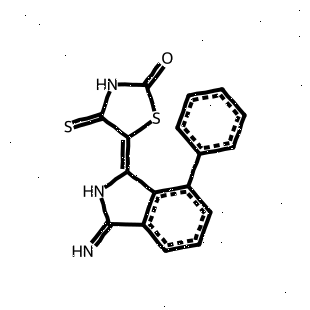 N=C1NC(=C2SC(=O)NC2=S)c2c1cccc2-c1ccccc1